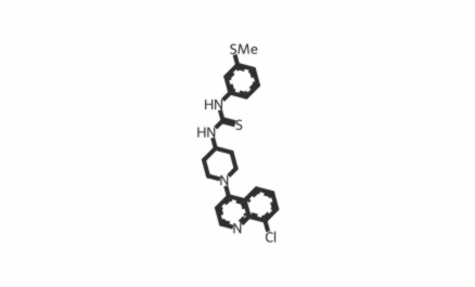 CSc1cccc(NC(=S)NC2CCN(c3ccnc4c(Cl)cccc34)CC2)c1